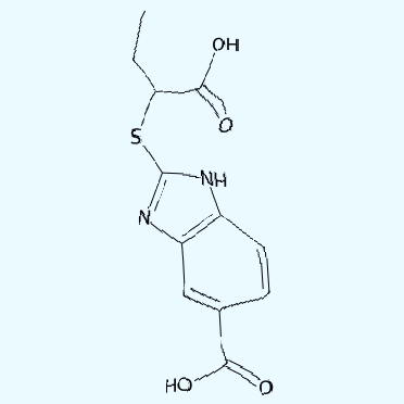 CCC(Sc1nc2cc(C(=O)O)ccc2[nH]1)C(=O)O